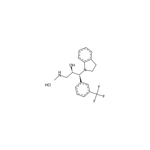 CNC[C@@H](O)[C@H](c1cccc(C(F)(F)F)c1)N1CCc2ccccc21.Cl